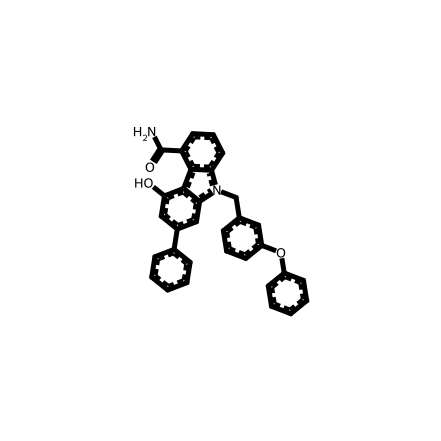 NC(=O)c1cccc2c1c1c(O)cc(-c3ccccc3)cc1n2Cc1cccc(Oc2ccccc2)c1